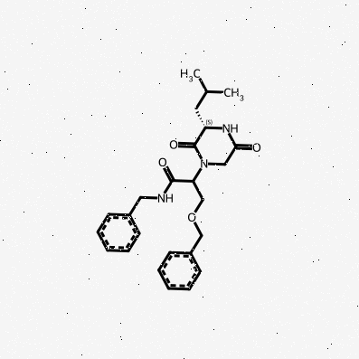 CC(C)C[C@@H]1NC(=O)CN(C(COCc2ccccc2)C(=O)NCc2ccccc2)C1=O